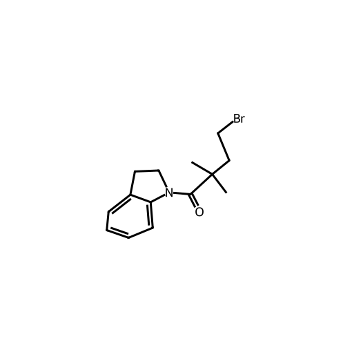 CC(C)(CCBr)C(=O)N1CCc2ccccc21